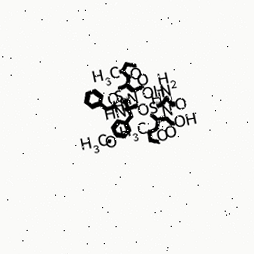 CC1CCOC1C1=C(C(=O)O)N2C(=O)[C@@H](N)[C@@H]2SC1.COc1ccc(CC2(NC(=O)Cc3ccccc3)C(=O)N3C(C(=O)O)=C(C4OCCC4C)CS[C@H]32)cc1